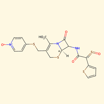 O=S=C(C(=O)NC1C(=O)N2C(C(=O)O)=C(CSc3cc[n+]([O-])cc3)CS[C@H]12)c1cccs1